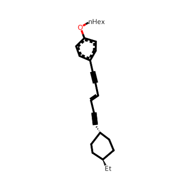 CCCCCCOc1ccc(C#C/C=C/C#C[C@H]2CC[C@H](CC)CC2)cc1